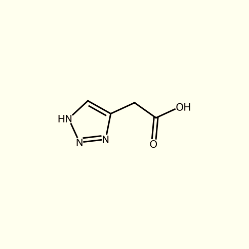 O=C(O)Cc1c[nH]nn1